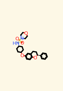 O=S(=O)(N[C@H]1CC[C@H](Oc2ccc3c(c2)CC[C@@H](c2ccccc2)O3)CC1)N1CCOCC1